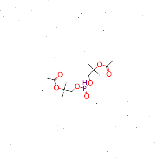 CC(=O)OC(C)(C)CO[PH](=O)OCC(C)(C)OC(C)=O